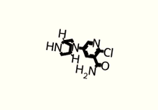 NC(=O)c1cc(N2C[C@H]3C[C@@H]2CN3)cnc1Cl